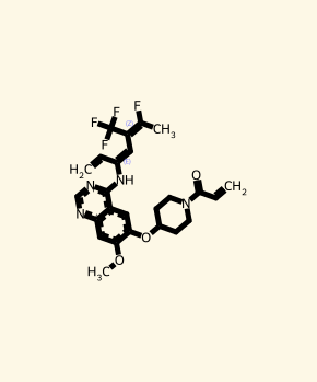 C=CC(=O)N1CCC(Oc2cc3c(N/C(C=C)=C/C(=C(\C)F)C(F)(F)F)ncnc3cc2OC)CC1